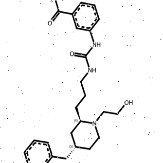 CC(=O)c1cccc(NC(=O)NCCC[C@@H]2C[C@@H](Cc3ccccc3)CCN2CCO)c1